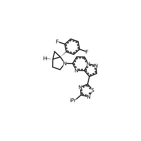 CC(C)c1nsc(-c2cnn3ccc(N4CC[C@H]5C[C@]54c4cc(F)ccc4F)nc23)n1